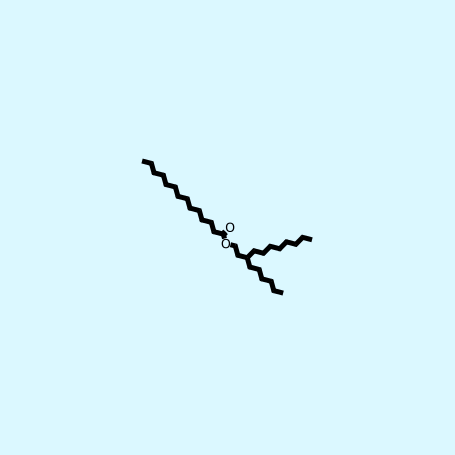 CCCCCCCCCCCCCC(=O)OCCC(CCCCCC)CCCCCCCC